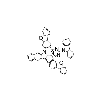 c1ccc2cc3c(cc2c1)c1ccccc1n3-c1cc2oc3ccccc3c2cc1-c1nc(-c2cccc3c2oc2ccccc23)nc(-n2c3ccccc3c3ccccc32)n1